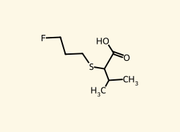 CC(C)C(SCCCF)C(=O)O